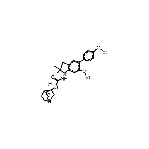 CCOc1ccc(-c2cc3c(cc2OCC)[C@H](NC(=O)O[C@H]2CN4CCC2CC4)C(C)(C)C3)cc1